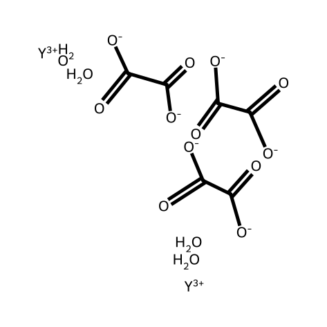 O.O.O.O.O=C([O-])C(=O)[O-].O=C([O-])C(=O)[O-].O=C([O-])C(=O)[O-].[Y+3].[Y+3]